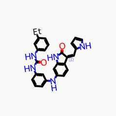 CCc1cccc(NC(=O)Nc2cccc(Nc3ccc4c(c3)NC(=O)/C4=C\c3ccc[nH]3)c2)c1